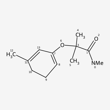 CNC(=O)C(C)(C)OC1=CCCC(C)=C1